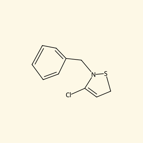 ClC1=CCSN1Cc1ccccc1